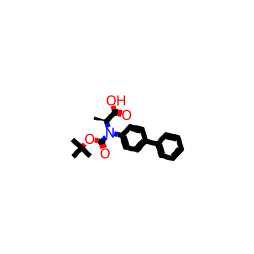 C[C@@H](C(=O)O)N(C(=O)OC(C)(C)C)c1ccc(-c2ccccc2)cc1